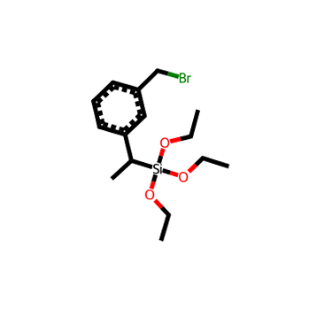 CCO[Si](OCC)(OCC)C(C)c1cccc(CBr)c1